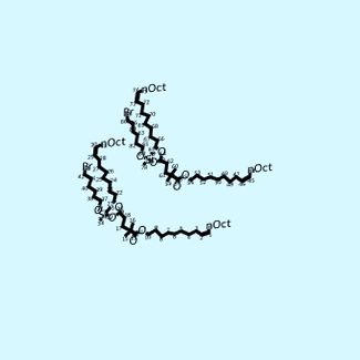 CCCCCCCC/C=C\CCCCCCCCOC(=O)C(C)(C)CCC(OCCCCCCCC/C=C\CCCCCCCC)O[Si](C)(C)OCCCCCCBr.CCCCCCCC/C=C\CCCCCCCCOC(=O)C(C)(C)CCC(OCCCCCCCC/C=C\CCCCCCCC)O[Si](C)(C)OCCCCCCBr